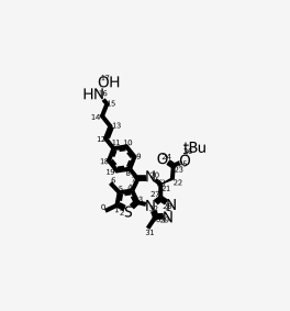 Cc1sc2c(c1C)C(c1ccc(C=CCCNO)cc1)=N[C@@H](CC(=O)OC(C)(C)C)c1nnc(C)n1-2